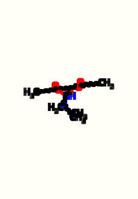 CCCCCCCCC(=O)OCCCC(CCCOC(=O)CCCCCCCC)OC(=O)NCCCN(C)CCCCN(C)C